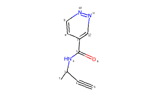 C#CC(C)NC(=O)c1ccnnc1